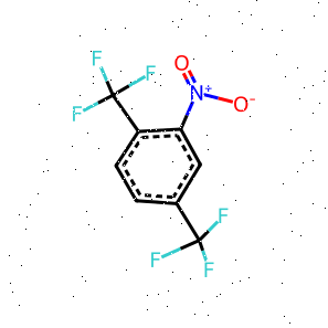 O=[N+]([O-])c1cc(C(F)(F)F)ccc1C(F)(F)F